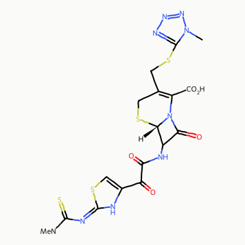 CNC(=S)N=c1[nH]c(C(=O)C(=O)NC2C(=O)N3C(C(=O)O)=C(CSc4nnnn4C)CS[C@@H]23)cs1